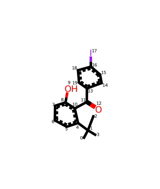 CC(C)(C)c1cccc(O)c1C(=O)c1ccc(I)cc1